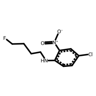 O=[N+]([O-])c1cc(Cl)ccc1NCCCCF